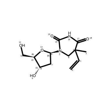 C=CC1(C)CN([C@H]2C[C@H](O)[C@@H](CO)O2)C(=O)NC1=O